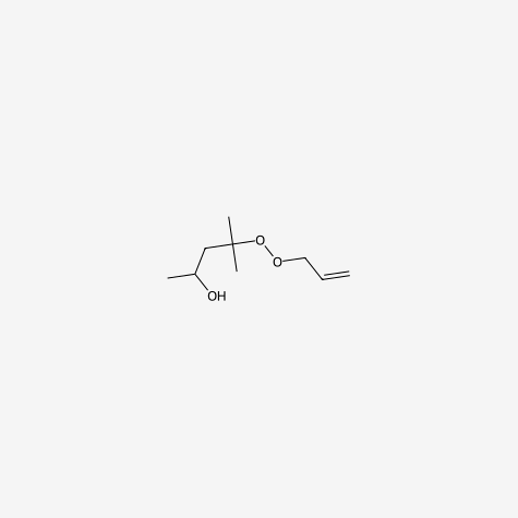 C=CCOOC(C)(C)CC(C)O